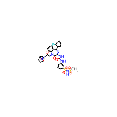 CS(=O)(=O)NS(=O)(=O)c1cccc(NC(=O)N[C@@H]2N=C(c3ccccc3F)c3ccccc3N(CC(=O)N3CC4CCC(CC4)C3)C2=O)c1